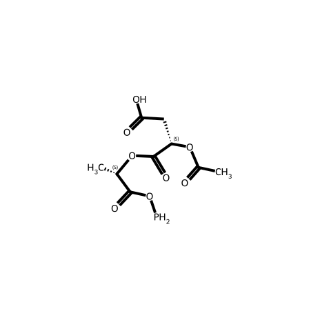 CC(=O)O[C@@H](CC(=O)O)C(=O)O[C@@H](C)C(=O)OP